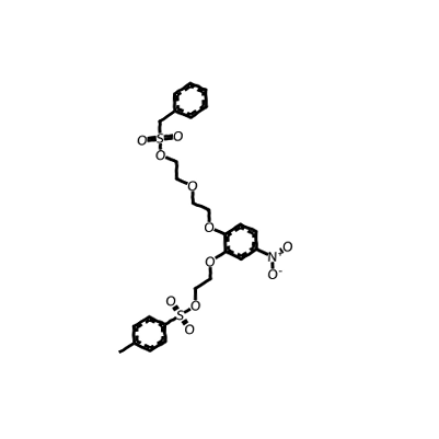 Cc1ccc(S(=O)(=O)OCCOc2cc([N+](=O)[O-])ccc2OCCOCCOS(=O)(=O)Cc2ccccc2)cc1